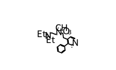 CCN(CC)CCN(C)C(=O)Cc1ccn[c]c1-c1ccccc1